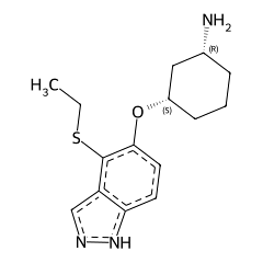 CCSc1c(O[C@H]2CCC[C@@H](N)C2)ccc2[nH]ncc12